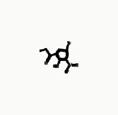 CCC(=O)c1cc(Br)cc([N+](=O)[O-])c1O